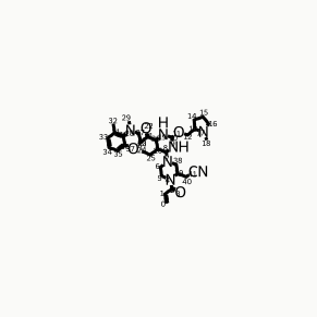 C=CC(=O)N1CCN(C2NC(OCC3CCCN3C)NC3C(=O)[C@]4(CCC32)CN(C)c2c(C)cccc2O4)CC1CC#N